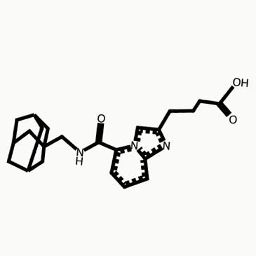 O=C(O)CCCc1cn2c(C(=O)NCC34CC5CC(CC(C5)C3)C4)cccc2n1